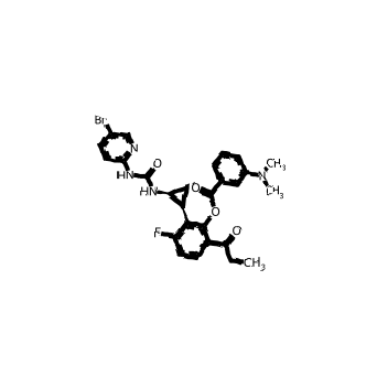 CCC(=O)c1ccc(F)c([C@@H]2C[C@@H]2NC(=O)Nc2ccc(Br)cn2)c1OC(=O)c1cccc(N(C)C)c1